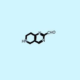 O=Cc1ncc2c(n1)CCNC2